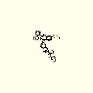 Cc1ccc2c(N3CCCC(CNC(=O)OC4CCOC4)C3)nc(-c3ccccc3O)nc2c1